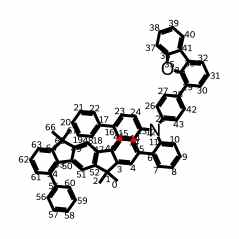 CC1(C)c2cc(-c3ccccc3N(c3ccc(-c4ccccc4)cc3)c3ccc(-c4cccc5c4oc4ccccc45)cc3)ccc2-c2cc3c(cc21)-c1c(-c2ccccc2)cccc1C3(C)C